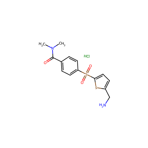 CN(C)C(=O)c1ccc(S(=O)(=O)c2ccc(CN)s2)cc1.Cl